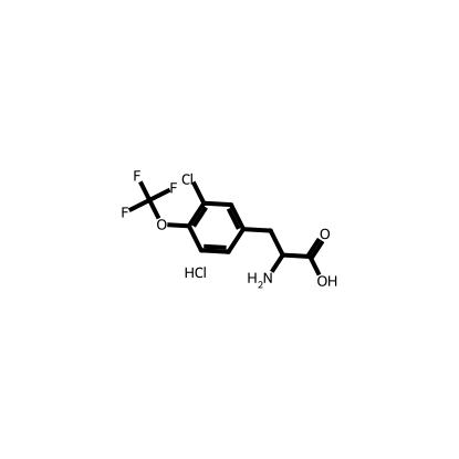 Cl.NC(Cc1ccc(OC(F)(F)F)c(Cl)c1)C(=O)O